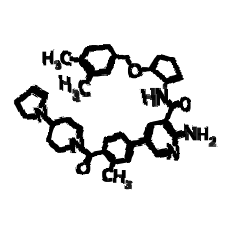 Cc1ccc(CO[C@H]2CCC[C@@H]2NC(=O)c2cc(-c3ccc(C(=O)N4CCC(N5CCCC5)CC4)c(C)c3)cnc2N)cc1C